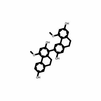 COc1cc(O)cc2c1-c1cc(-c3c(O)cc(OC)c4c3CCc3cc(O)ccc3-4)c(O)cc1CC2